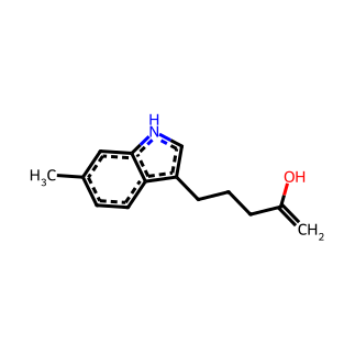 C=C(O)CCCc1c[nH]c2cc(C)ccc12